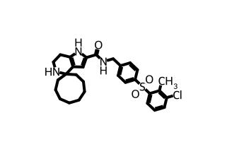 Cc1c(Cl)cccc1S(=O)(=O)c1ccc(CNC(=O)c2cc3c([nH]2)CCNC32CCCCCCCC2)cc1